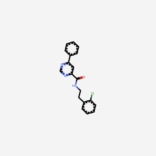 O=C(NCCc1ccccc1Cl)c1cc(-c2ccccc2)ncn1